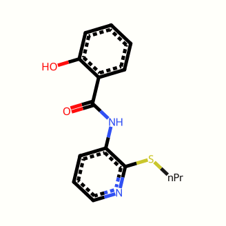 CCCSc1ncccc1NC(=O)c1ccccc1O